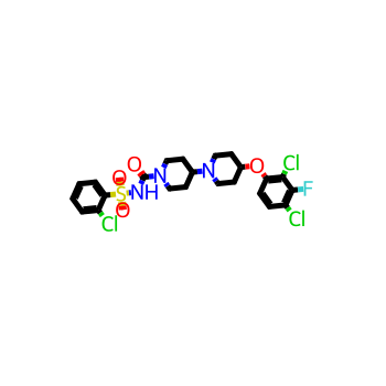 O=C(NS(=O)(=O)c1ccccc1Cl)N1CCC(N2CCC(Oc3ccc(Cl)c(F)c3Cl)CC2)CC1